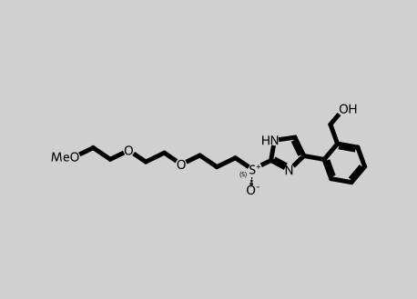 COCCOCCOCCC[S@@+]([O-])c1nc(-c2ccccc2CO)c[nH]1